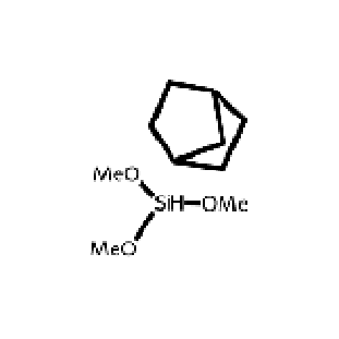 C1CC2CCC1C2.CO[SiH](OC)OC